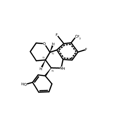 OC1=CC([C@@H]2Nc3cc(F)c(C(F)(F)F)c(F)c3[C@H]3OCCC[C@H]32)CC=C1